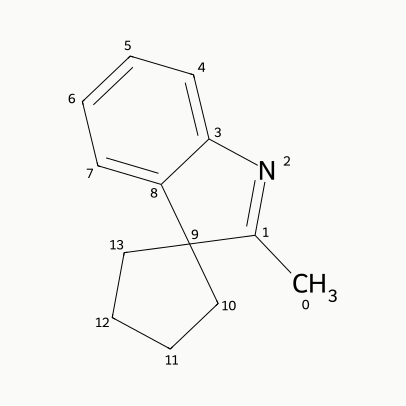 CC1=Nc2ccccc2C12CCCC2